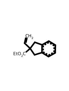 C=CC1(C(=O)OCC)Cc2ccccc2C1